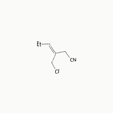 CC/C=C(\CCl)CC#N